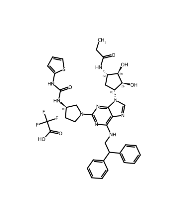 CCC(=O)N[C@H]1C[C@@H](n2cnc3c(NCC(c4ccccc4)c4ccccc4)nc(N4CC[C@@H](NC(=O)Nc5cccs5)C4)nc32)[C@H](O)[C@@H]1O.O=C(O)C(F)(F)F